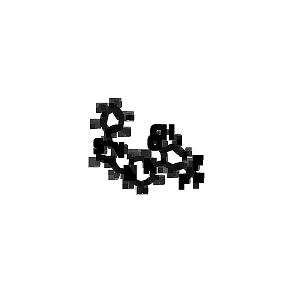 COc1ccc(C(F)(F)F)cc1N1CCCN(Cc2csc(-c3ccccc3)n2)CC1